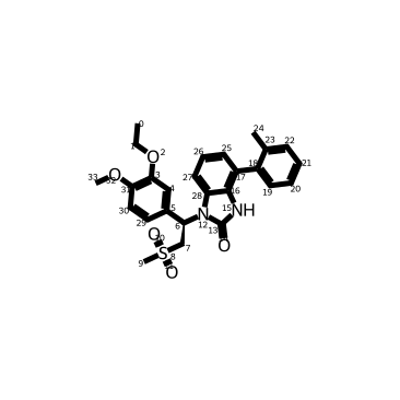 CCOc1cc([C@H](CS(C)(=O)=O)n2c(=O)[nH]c3c(-c4ccccc4C)cccc32)ccc1OC